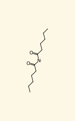 CCCCCC(=O)[N]C(=O)CCCCC